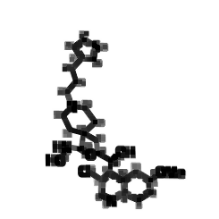 COc1ccc2ncc(Cl)c([C@H](O)CCC3(C(=O)NO)CCN(CCCc4ccsc4)CC3)c2c1